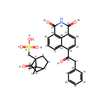 CC1(C)C2CCC1(CS(=O)(=O)O)C(=O)C2.O=C(Cc1ccccc1)c1ccc2c3c(cccc13)C(=O)NC2=O